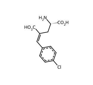 N[C@@H](CC(=Cc1ccc(Cl)cc1)C(=O)O)C(=O)O